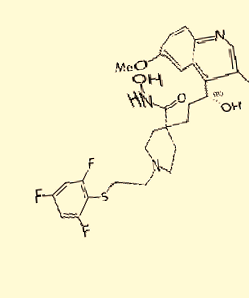 COc1ccc2ncc(C)c([C@H](O)CCC3(C(=O)NO)CCN(CCSc4c(F)cc(F)cc4F)CC3)c2c1